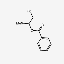 CNC(CC(C)C)OC(=O)c1ccccc1